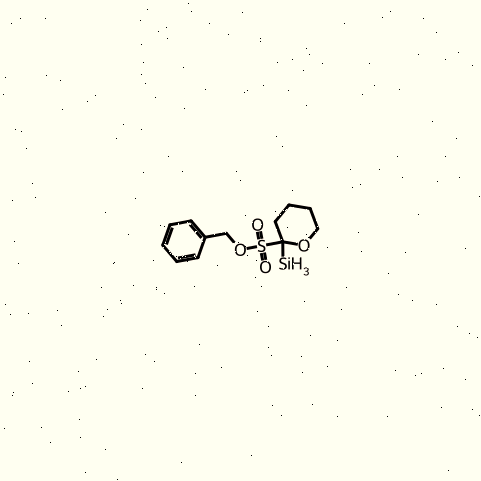 O=S(=O)(OCc1ccccc1)C1([SiH3])CCCCO1